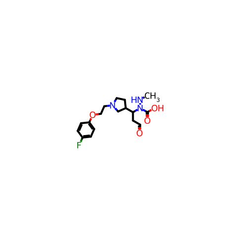 CNN(C(=O)O)C(CC=O)C1CCN(CCOc2ccc(F)cc2)C1